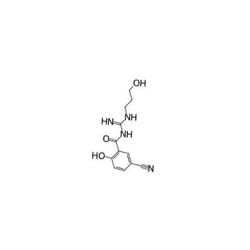 N#Cc1ccc(O)c(C(=O)NC(=N)NCCCO)c1